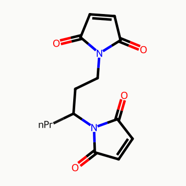 CCCC(CCN1C(=O)C=CC1=O)N1C(=O)C=CC1=O